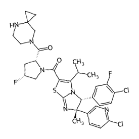 CC(C)C1=C(C(=O)N2C[C@H](F)C[C@@H]2C(=O)N2CCNC3(CC3)C2)SC2=N[C@@](C)(c3ccc(Cl)nc3)[C@@H](c3ccc(Cl)c(F)c3)N21